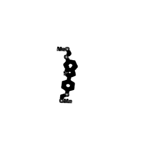 COCOc1ccc(-c2cc3ccc(OCOC)cc3s2)cc1